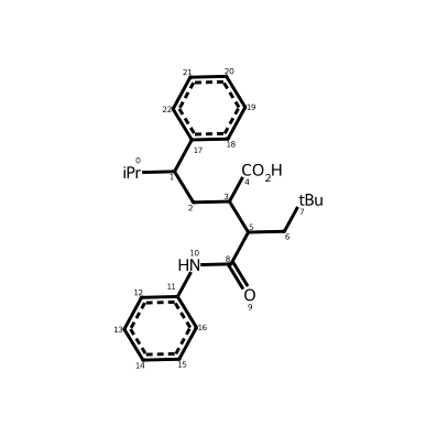 CC(C)C(CC(C(=O)O)C(CC(C)(C)C)C(=O)Nc1ccccc1)c1ccccc1